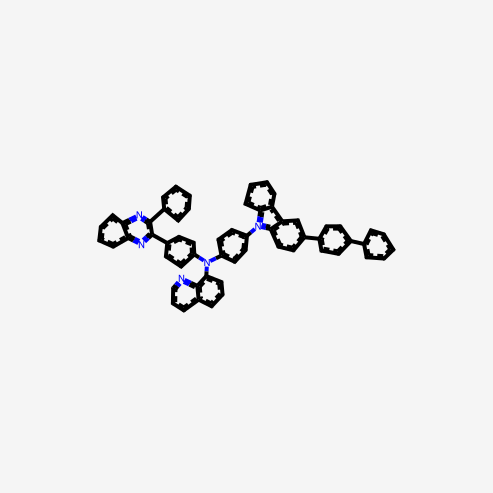 c1ccc(-c2ccc(-c3ccc4c(c3)c3ccccc3n4-c3ccc(N(c4ccc(-c5nc6ccccc6nc5-c5ccccc5)cc4)c4cccc5cccnc45)cc3)cc2)cc1